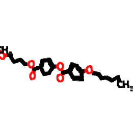 CCCCCCCOc1ccc(C(=O)OC2=CC=C(C(=O)OCCCCOC)CC2)cc1